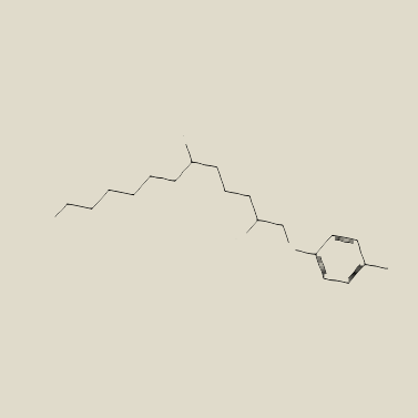 CC(=O)C(CCCCCCC(=O)O)CCCC(O)CSc1ccc(F)cc1